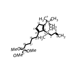 C=CC[Si](C)(C)C1=[C]([Pt]([CH3])([CH3])[CH3])CC=C1CCCC[Si](OC)(OC)OC